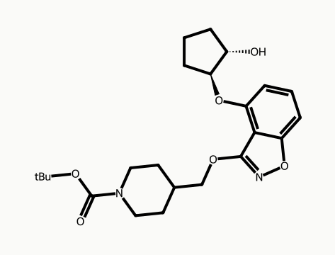 CC(C)(C)OC(=O)N1CCC(COc2noc3cccc(O[C@H]4CCC[C@@H]4O)c23)CC1